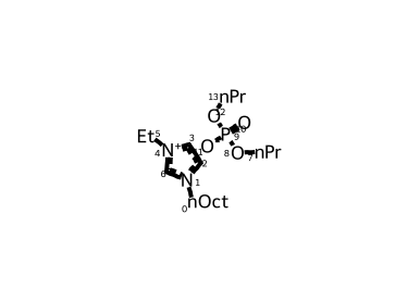 CCCCCCCCn1cc[n+](CC)c1.CCCOP(=O)([O-])OCCC